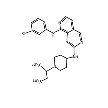 CCOC(=O)CC(C(=O)OCC)N1CCC(Nc2ncc3ncnc(Nc4cccc(Cl)c4)c3n2)CC1